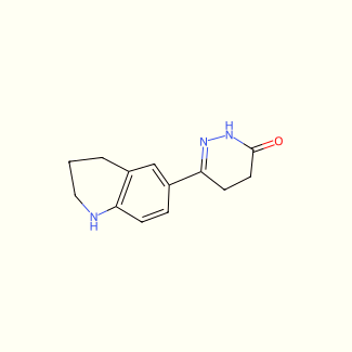 O=C1CCC(c2ccc3c(c2)CCCN3)=NN1